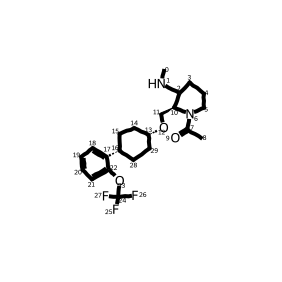 CNC1CCCN(C(C)=O)[C@H]1CO[C@H]1CC[C@@H](c2ccccc2OC(F)(F)F)CC1